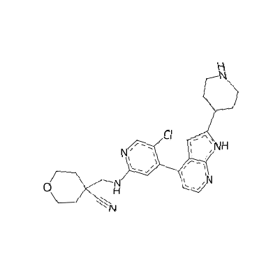 N#CC1(CNc2cc(-c3ccnc4[nH]c(C5CCNCC5)cc34)c(Cl)cn2)CCOCC1